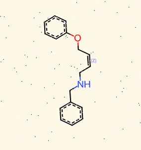 C(=C/COc1ccccc1)/CNCc1ccccc1